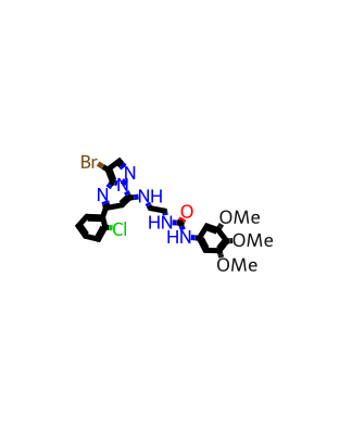 COc1cc(NC(=O)NCCNc2cc(-c3ccccc3Cl)nc3c(Br)cnn23)cc(OC)c1OC